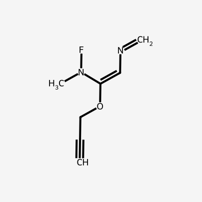 C#CCO/C(=C/N=C)N(C)F